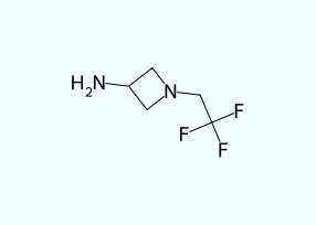 NC1CN(CC(F)(F)F)C1